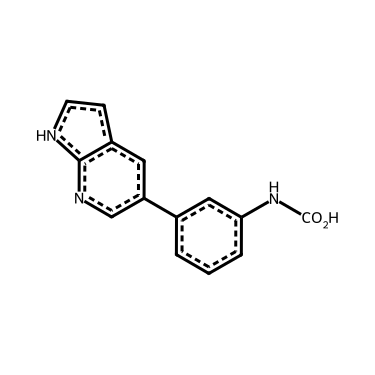 O=C(O)Nc1cccc(-c2cnc3[nH]ccc3c2)c1